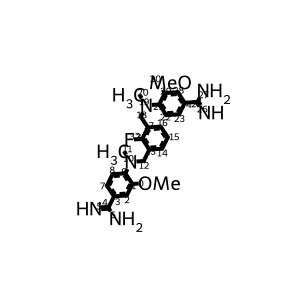 COc1cc(C(=N)N)ccc1N(C)Cc1cccc(CN(C)c2ccc(C(=N)N)cc2OC)c1F